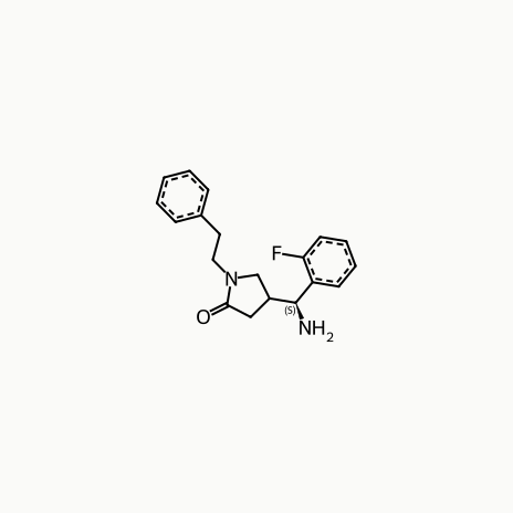 N[C@H](c1ccccc1F)C1CC(=O)N(CCc2ccccc2)C1